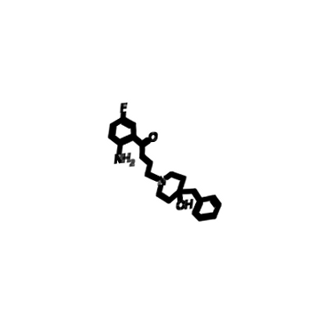 Nc1ccc(F)cc1C(=O)CCCN1CCC(O)(Cc2ccccc2)CC1